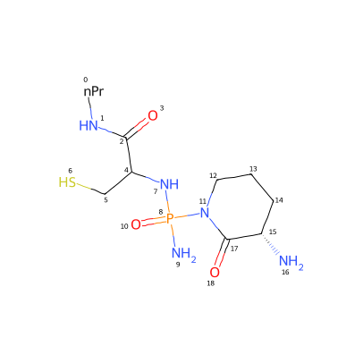 CCCNC(=O)C(CS)NP(N)(=O)N1CCC[C@H](N)C1=O